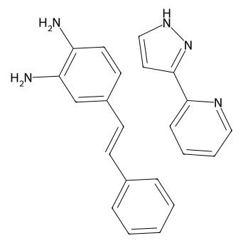 Nc1ccc(C=Cc2ccccc2)cc1N.c1ccc(-c2cc[nH]n2)nc1